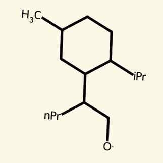 CCCC(C[O])C1CC(C)CCC1C(C)C